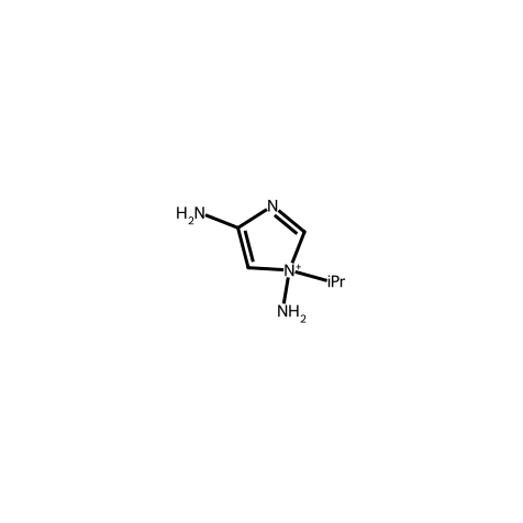 CC(C)[N+]1(N)C=NC(N)=C1